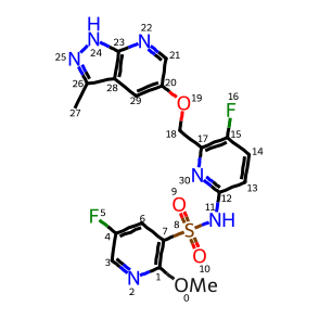 COc1ncc(F)cc1S(=O)(=O)Nc1ccc(F)c(COc2cnc3[nH]nc(C)c3c2)n1